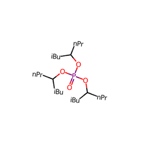 CCCC(OP(=O)(OC(CCC)C(C)CC)OC(CCC)C(C)CC)C(C)CC